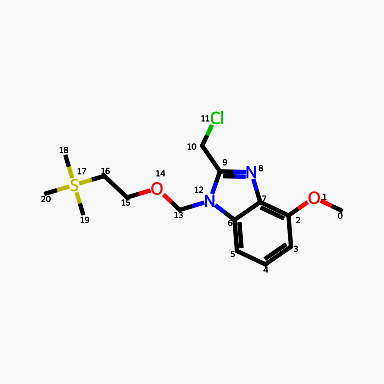 COc1cccc2c1nc(CCl)n2COCCS(C)(C)C